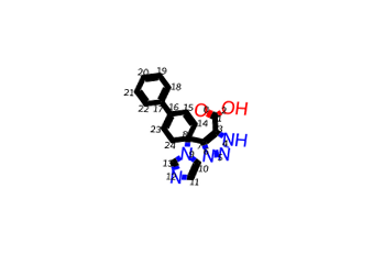 O=C(O)c1[nH]nnc1C1(n2ccnc2)C=CC(c2ccccc2)=CC1